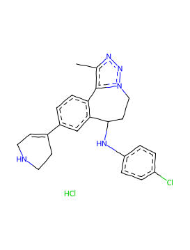 Cc1nnn2c1-c1ccc(C3=CCNCC3)cc1C(Nc1ccc(Cl)cc1)CC2.Cl